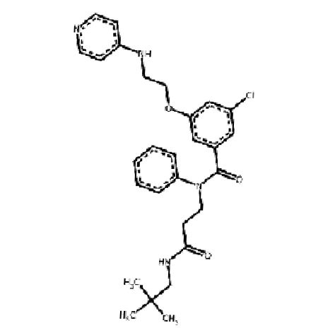 CC(C)(C)CNC(=O)CCN(C(=O)c1cc(Cl)cc(OCCNc2ccncc2)c1)c1ccccc1